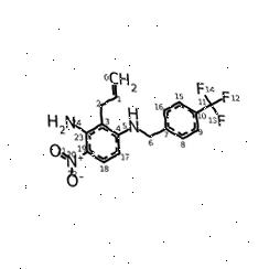 C=CCc1c(NCc2ccc(C(F)(F)F)cc2)ccc([N+](=O)[O-])c1N